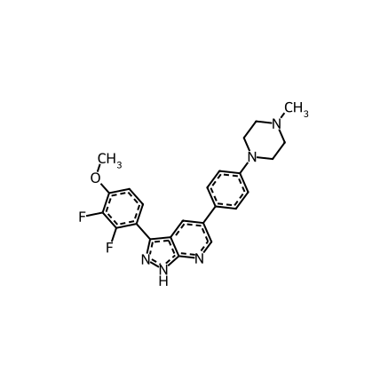 COc1ccc(-c2n[nH]c3ncc(-c4ccc(N5CCN(C)CC5)cc4)cc23)c(F)c1F